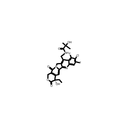 CC[C@@]1(O)C(=O)OCc2c1cc1n(c2=O)Cc2c-1nc1cc(F)c(Cl)c(F)c1c2CNC(=O)C(C)(C)O